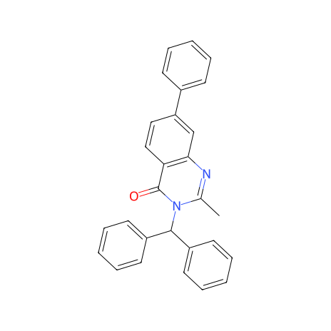 Cc1nc2cc(-c3ccccc3)ccc2c(=O)n1C(c1ccccc1)c1ccccc1